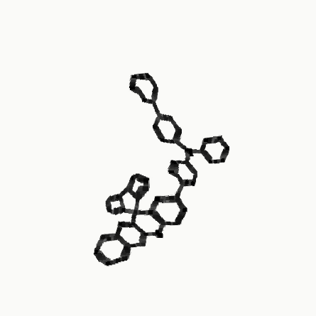 c1ccc(-c2ccc(N(c3ccccc3)c3ccc(-c4ccc5c(c4)C4(c6cc7ccccc7cc6S5)c5ccccc5-c5ccccc54)cc3)cc2)cc1